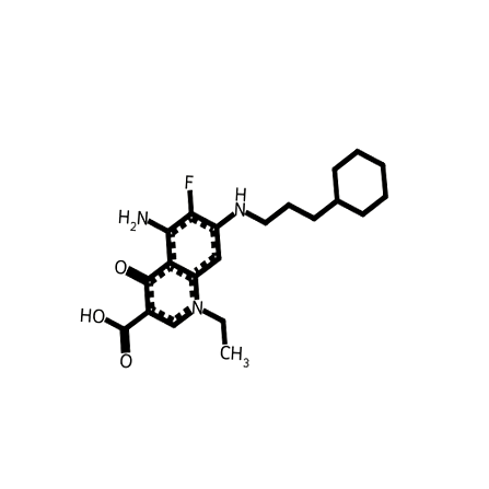 CCn1cc(C(=O)O)c(=O)c2c(N)c(F)c(NCCCC3CCCCC3)cc21